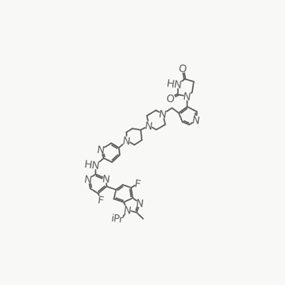 Cc1nc2c(F)cc(-c3nc(Nc4ccc(N5CCC(N6CCN(Cc7ccncc7N7CCC(=O)NC7=O)CC6)CC5)cn4)ncc3F)cc2n1C(C)C